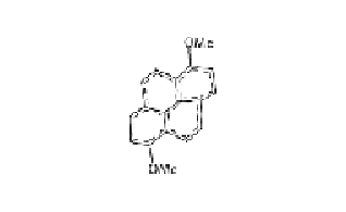 COc1ccc2ccc3c(OC)ccc4ccc1c2c43